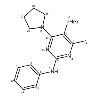 CCCCCCc1c(C)nc(Nc2ccccc2)nc1N1CCCC1